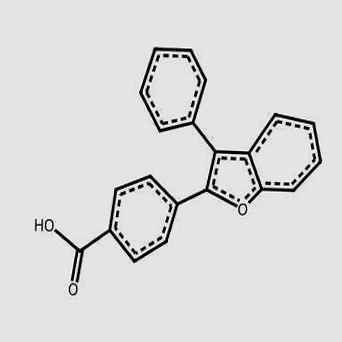 O=C(O)c1ccc(-c2oc3ccccc3c2-c2ccccc2)cc1